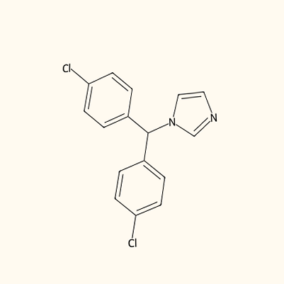 Clc1ccc(C(c2ccc(Cl)cc2)n2ccnc2)cc1